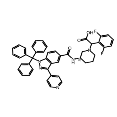 O=C(N[C@@H]1CCCN(C(C(=O)O)c2c(F)cccc2F)C1)c1ccc2c(c1)c(-c1ccncc1)nn2C(c1ccccc1)(c1ccccc1)c1ccccc1